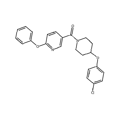 O=C(c1ccc(Oc2ccccc2)nc1)N1CCC(Oc2ccc(Cl)cc2)CC1